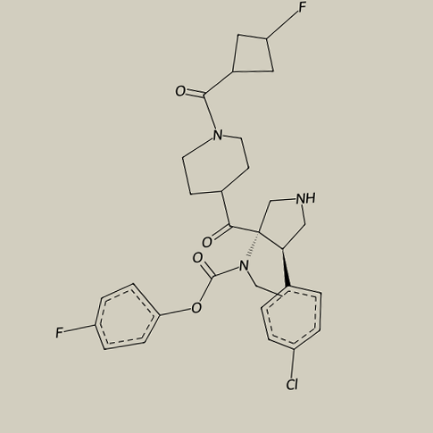 CCN(C(=O)Oc1ccc(F)cc1)[C@]1(C(=O)C2CCN(C(=O)C3CC(F)C3)CC2)CNC[C@H]1c1ccc(Cl)cc1